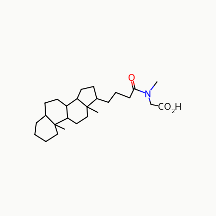 CN(CC(=O)O)C(=O)CCCC1CCC2C3CCC4CCCCC4(C)C3CCC12C